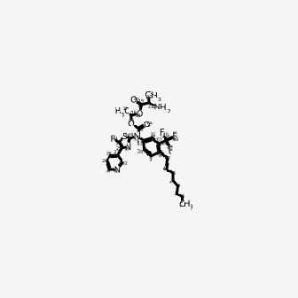 CCCCCCCCc1ccc(N(C(=O)OC(C)OC(=O)C(C)N)c2nc(-c3cccnc3)c(F)s2)cc1C(F)(F)F